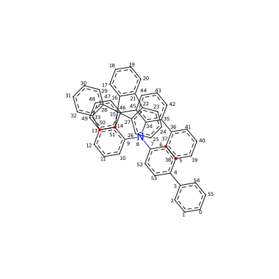 c1ccc(-c2ccc(N(c3cccc4c3C3(c5ccccc5-c5ccccc53)c3ccccc3-4)c3c(-c4ccccc4)cccc3-c3ccccc3)cc2)cc1